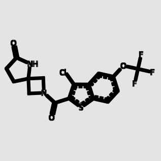 O=C1CCC2(CN(C(=O)c3sc4ccc(OC(F)(F)F)cc4c3Cl)C2)N1